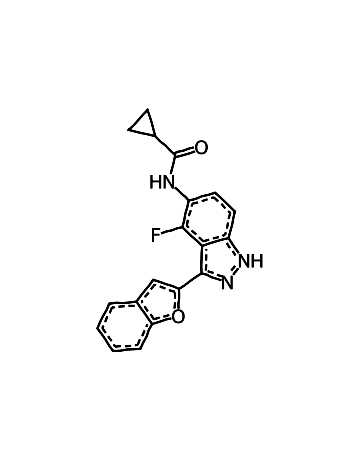 O=C(Nc1ccc2[nH]nc(-c3cc4ccccc4o3)c2c1F)C1CC1